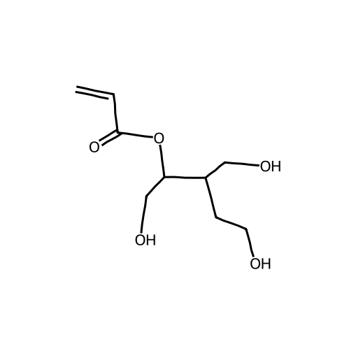 C=CC(=O)OC(CO)C(CO)CCO